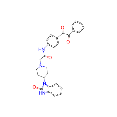 O=C(CN1CCC(n2c(=O)[nH]c3ccccc32)CC1)Nc1ccc(C(=O)C(=O)c2ccccc2)cc1